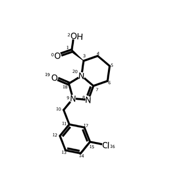 O=C(O)[C@H]1CCCc2nn(Cc3cccc(Cl)c3)c(=O)n21